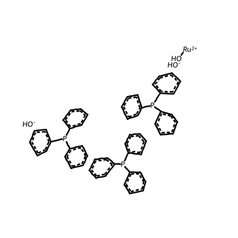 [OH-].[OH-].[OH][Ru+2].c1ccc(P(c2ccccc2)c2ccccc2)cc1.c1ccc(P(c2ccccc2)c2ccccc2)cc1.c1ccc(P(c2ccccc2)c2ccccc2)cc1